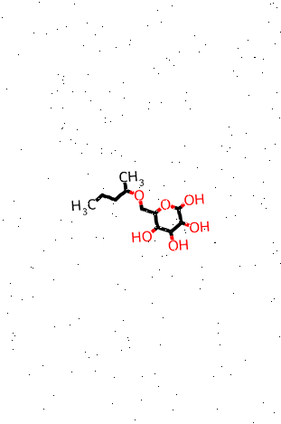 CCCC(C)OCC1OC(O)C(O)C(O)C1O